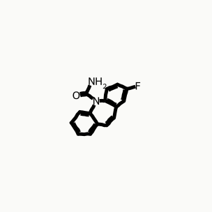 NC(=O)N1c2ccccc2C=Cc2cc(F)ccc21